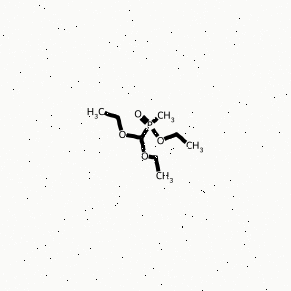 CCOC(OCC)P(C)(=O)OCC